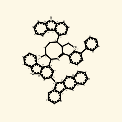 CCC1/C(c2cccc(-c3ccccc3)c2)=N\C(c2cc(-n3c4ccccc4c4cc5ccccc5cc43)cc3oc4ccccc4c23)C(C)CCC1c1cccc2oc3ccccc3c12